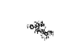 COc1cc(C(=O)NCC(O)(c2cc3c(c(-c4ccc(F)cc4)n2)OCC3(C)N)C(F)(F)F)cc2c1NC(=O)NC2